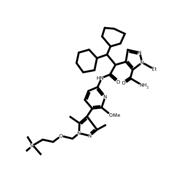 CCn1ncc(C(C(=O)Nc2ccc(-c3c(C)nn(COCC[Si](C)(C)C)c3C)c(OC)n2)C(C2CCCCC2)C2CCCCC2)c1C(N)=O